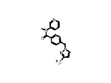 CN(C(=O)c1ccc(Cn2ccc(C(F)(F)F)n2)cc1)c1cccnc1